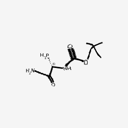 CC(C)(C)OC(=O)N[C@@H](P)C(N)=O